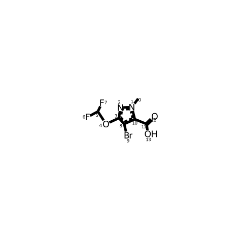 Cn1nc(OC(F)F)c(Br)c1C(=O)O